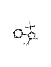 Nc1[nH]nc(C(F)(F)F)c1-c1cccnc1